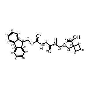 O=C(CNC(=O)OCC1c2ccccc2-c2ccccc21)NCOCC1(C(=O)O)CCC1